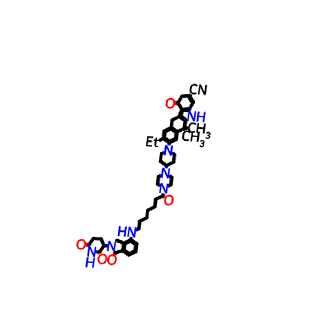 CCc1cc2c(cc1N1CCC(N3CCN(C(=O)CCCCCCNc4cccc5c4CN(C4CCC(=O)NC4=O)C5=O)CC3)CC1)C(C)(C)c1[nH]c3c(c1C2)C(=O)CC(C#N)=C3